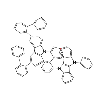 c1ccc(-c2ccccc2-c2ccc3c(c2)c2cc(-c4ccccc4-c4ccccc4)ccc2n3-c2ccccc2-c2ccccc2-n2c3ccccc3c3c2c2ccccc2n3-c2ccccc2)cc1